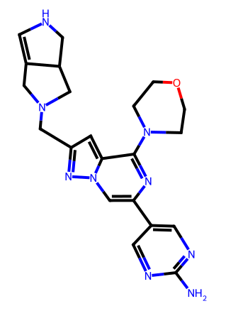 Nc1ncc(-c2cn3nc(CN4CC5=CNCC5C4)cc3c(N3CCOCC3)n2)cn1